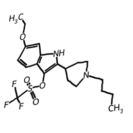 CCCCN1CCC(c2[nH]c3cc(OCC)ccc3c2OS(=O)(=O)C(F)(F)F)CC1